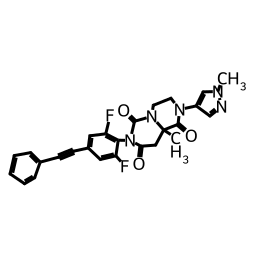 Cn1cc(N2CCN3C(=O)N(c4c(F)cc(C#Cc5ccccc5)cc4F)C(=O)CC3(C)C2=O)cn1